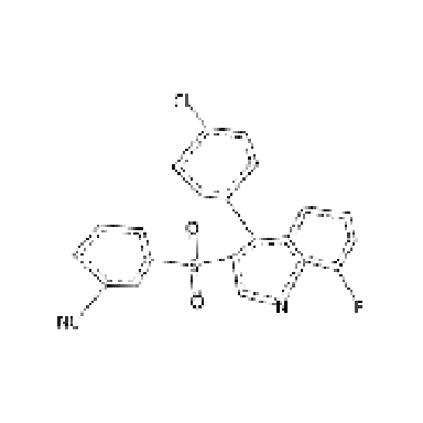 N#Cc1cccc(S(=O)(=O)c2cnc3c(F)cccc3c2-c2ccc(Cl)cc2)c1